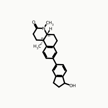 CN1C(=O)CC[C@]2(C)c3ccc(-c4ccc5c(c4)CCC5O)cc3CC[C@@H]12